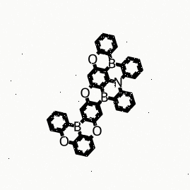 c1ccc2c(c1)Oc1cccc3c1B2c1cc2c(cc1O3)B1c3ccccc3N3c4ccccc4B4c5ccccc5Oc5cc(c1c3c54)O2